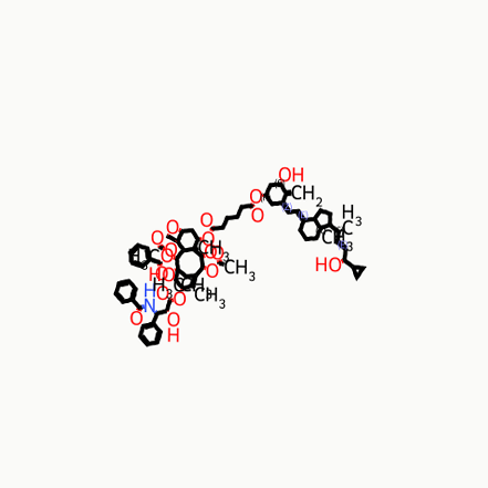 C=C1/C(=C\C=C2/CCC[C@@]3(C)C2CCC3[C@@H](C)/C=C/C(O)C2CC2)C[C@@H](OC(=O)CCCCC(=O)OC2CC3OCC3(OC(C)=O)C3C(OC(=O)c4ccccc4)C4(O)CC(OC(=O)C(O)C(NC(=O)c5ccccc5)c5ccccc5)C(C)=C(C(OC(C)=O)C(=O)C23C)C4(C)C)C[C@@H]1O